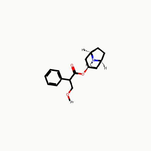 CC(C)OCC(C(=O)O[C@H]1C[C@H]2CC[C@@H](C1)N2C)c1ccccc1